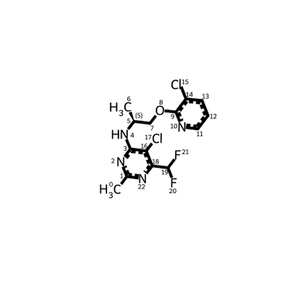 Cc1nc(N[C@@H](C)COc2ncccc2Cl)c(Cl)c(C(F)F)n1